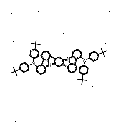 CC(C)(C)c1ccc(N(c2ccc(C(C)(C)C)cc2)c2cccc3c2c2cccc4c5cc6c(cc5n3c42)c2cccc3c4c(N(c5ccc(C(C)(C)C)cc5)c5ccc(C(C)(C)C)cc5)cccc4n6c23)cc1